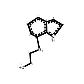 OCCOc1cccc2[c]c[nH]c12